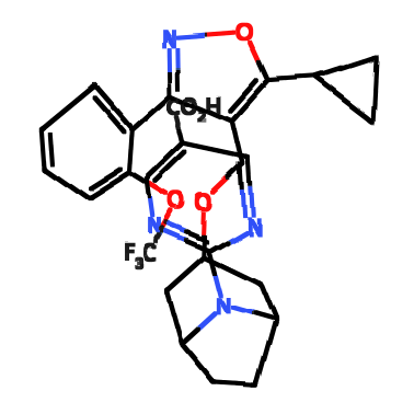 O=C(O)c1cnc(N2C3CCC2CC(OCc2c(-c4ccccc4OC(F)(F)F)noc2C2CC2)C3)nc1